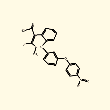 CO/C(C)=C(/C(=O)O)c1ccccc1Oc1cccc(Oc2ccc([N+](=O)[O-])cc2)c1